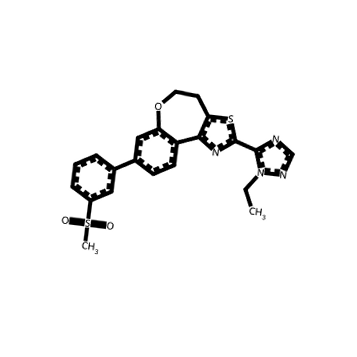 CCn1ncnc1-c1nc2c(s1)CCOc1cc(-c3cccc(S(C)(=O)=O)c3)ccc1-2